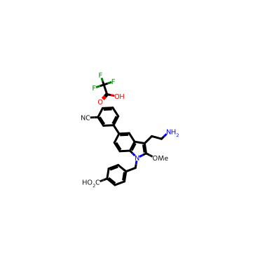 COc1c(CCN)c2cc(-c3cccc(C#N)c3)ccc2n1Cc1ccc(C(=O)O)cc1.O=C(O)C(F)(F)F